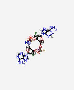 Nc1ncnc2c1ncn2[C@@H]1O[C@@H]2CNS(=O)(=O)O[C@H]3[C@@H](F)[C@H](n4cnc5c(N)ncnc54)O[C@@H]3CO[P@](=O)(S)O[C@H]2[C@H]1F